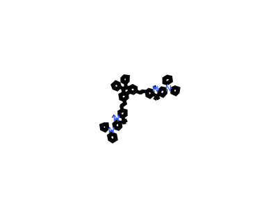 CN1c2cc(/C=C/c3ccc4c(-c5ccccc5)c(-c5ccccc5)c5ccc(/C=C/c6ccc7c(c6)N(C)c6cc(N(c8ccccc8)c8ccccc8)ccc6C7(C)C)cc5c4c3)ccc2C(C)(C)c2ccc(N(c3ccccc3)c3ccccc3)cc21